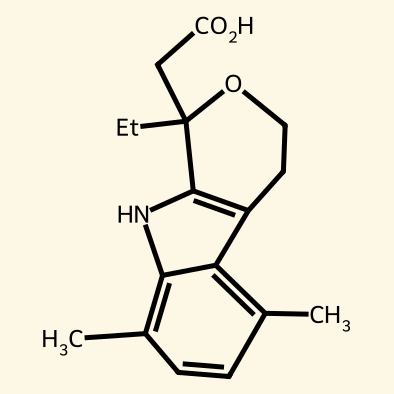 CCC1(CC(=O)O)OCCc2c1[nH]c1c(C)ccc(C)c21